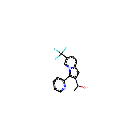 CC(O)c1cc2ccc(C(F)(F)F)cn2c1-c1ccccn1